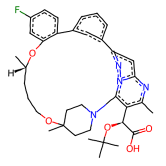 Cc1nc2cc3nn2c(c1[C@H](OC(C)(C)C)C(=O)O)N1CCC(C)(CC1)OCCC[C@H](C)Oc1cc(F)ccc1-c1cccc-3c1